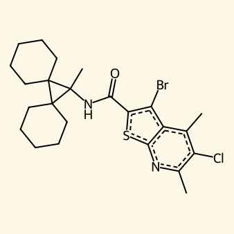 Cc1nc2sc(C(=O)NC3(C)C4(CCCCC4)C34CCCCC4)c(Br)c2c(C)c1Cl